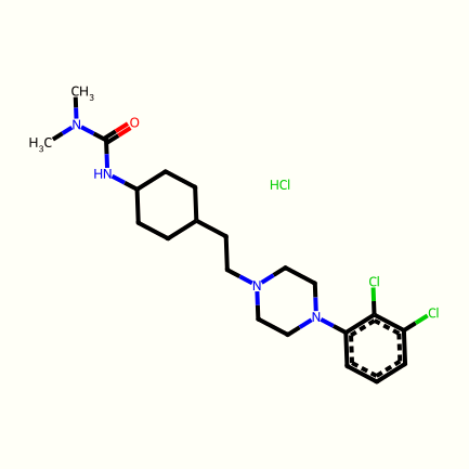 CN(C)C(=O)NC1CCC(CCN2CCN(c3cccc(Cl)c3Cl)CC2)CC1.Cl